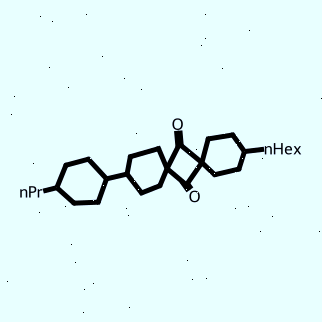 CCCCCCC1CCC2(CC1)C(=O)C1(CCC(C3CCC(CCC)CC3)CC1)C2=O